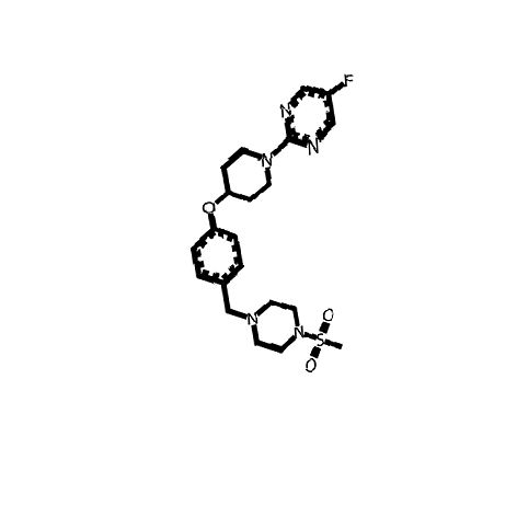 CS(=O)(=O)N1CCN(Cc2ccc(OC3CCN(c4ncc(F)cn4)CC3)cc2)CC1